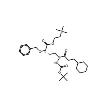 CC(C)(C)OC(=O)NN(CC[C@H](OCc1ccccc1)C(=O)OCC[Si](C)(C)C)C(=O)CCC1CCCCC1